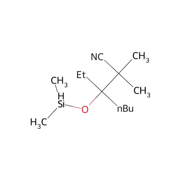 CCCCC(CC)(O[SiH](C)C)C(C)(C)C#N